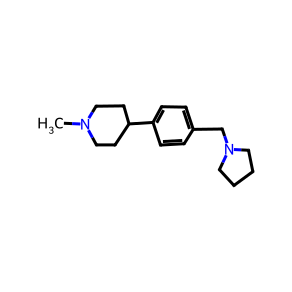 CN1CCC(c2ccc(CN3CCCC3)cc2)CC1